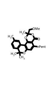 CCCCCc1cc2c(c3c1C(=O)OC(C)(COC)O3)-c1cc(C)ccc1C(C)(C)O2